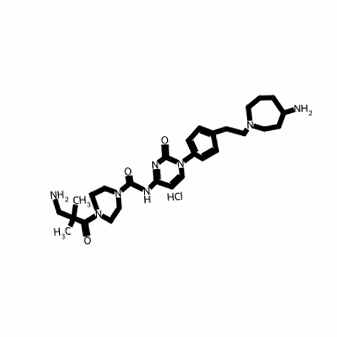 CC(C)(CN)C(=O)N1CCN(C(=O)Nc2ccn(-c3ccc(CCN4CCCC(N)CC4)cc3)c(=O)n2)CC1.Cl